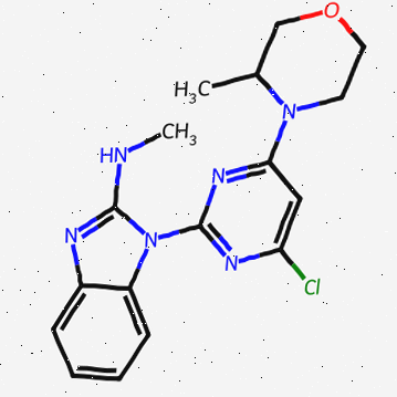 CNc1nc2ccccc2n1-c1nc(Cl)cc(N2CCOCC2C)n1